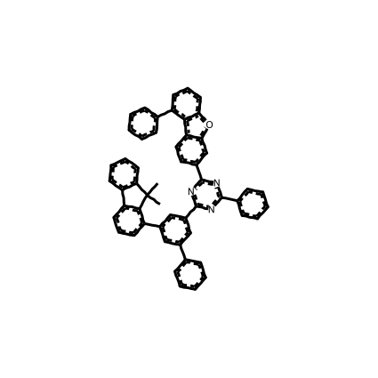 CC1(C)c2ccccc2-c2cccc(-c3cc(-c4ccccc4)cc(-c4nc(-c5ccccc5)nc(-c5ccc6c(c5)oc5cccc(-c7ccccc7)c56)n4)c3)c21